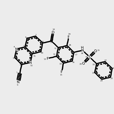 N#Cc1cnc2ccc(C(=O)c3c(F)c(F)cc(NS(=O)(=O)c4ccccc4)c3F)cc2n1